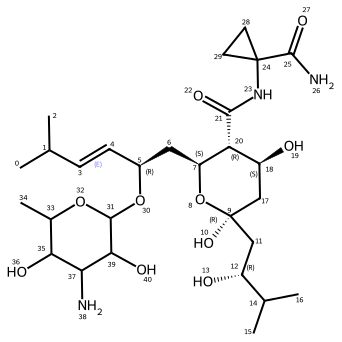 CC(C)/C=C/[C@@H](C[C@@H]1O[C@](O)(C[C@@H](O)C(C)C)C[C@H](O)[C@H]1C(=O)NC1(C(N)=O)CC1)OC1OC(C)C(O)C(N)C1O